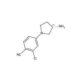 N#Cc1ccc(N2CC[C@H](N)C2)cc1Cl